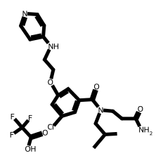 CC(C)CN(CCC(N)=O)C(=O)c1cc(Cl)cc(OCCNc2ccncc2)c1.O=C(O)C(F)(F)F